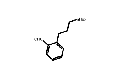 CCCCCCCCCc1ccccc1[C]=O